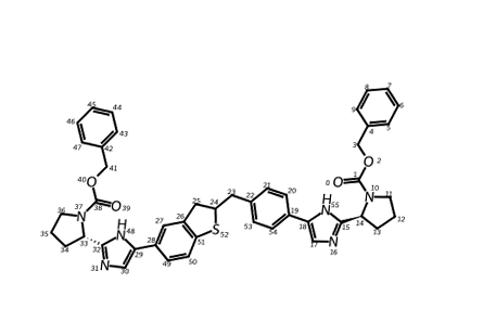 O=C(OCc1ccccc1)N1CCC[C@H]1c1ncc(-c2ccc(CC3Cc4cc(-c5cnc([C@@H]6CCCN6C(=O)OCc6ccccc6)[nH]5)ccc4S3)cc2)[nH]1